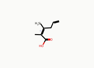 C=CC/C([SiH3])=C(/C)C(=O)O